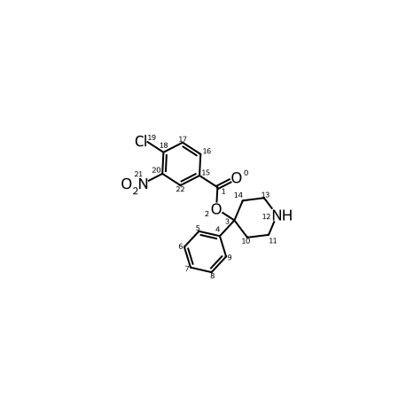 O=C(OC1(c2ccccc2)CCNCC1)c1ccc(Cl)c([N+](=O)[O-])c1